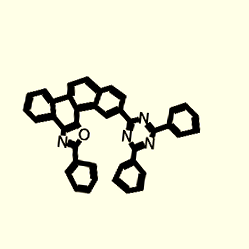 c1ccc(-c2nc(-c3ccccc3)nc(-c3ccc4ccc5c6ccccc6c6nc(-c7ccccc7)oc6c5c4c3)n2)cc1